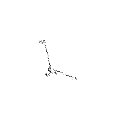 CCCCCCCCCCCCCCCCn1cc[n+](C(C)C)c1CCCCCCCCCCCCCC